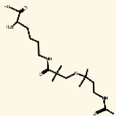 CC(=O)NCCC(C)(C)OCC(C)(C)C(=O)NCCCCC(N)C(=O)O